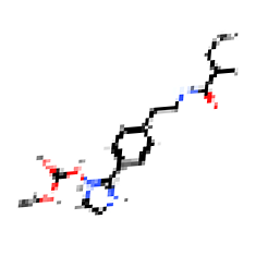 CNCC(C)C(=O)NCCc1ccc(C2=NCCN2OC(=O)OC(C)(C)C)cc1